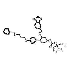 CC(C)(C)OC(=O)ON1CCC(c2ccc(OCCCOCc3ccccc3)cc2)C(OCc2ccc3[nH]cnc3c2)C1